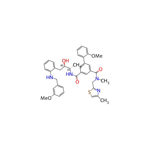 COc1cccc(CNc2ccccc2C[C@@H](O)[C@H](C)NC(=O)c2cc(C(=O)N(C)Cc3nc(C)cs3)cc(-c3ccccc3OC)c2)c1